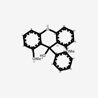 COc1cccc2c1C(O)(c1ccccc1)c1c(OC)cccc1O2